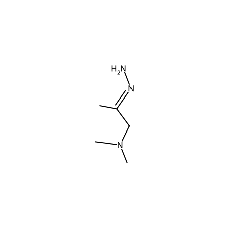 C/C(CN(C)C)=N\N